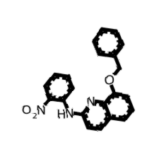 O=[N+]([O-])c1ccccc1Nc1ccc2cccc(OCc3ccccc3)c2n1